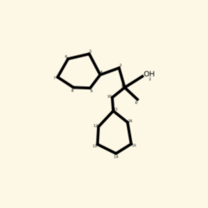 CC(O)(CC1CCCCC1)CC1CCCCC1